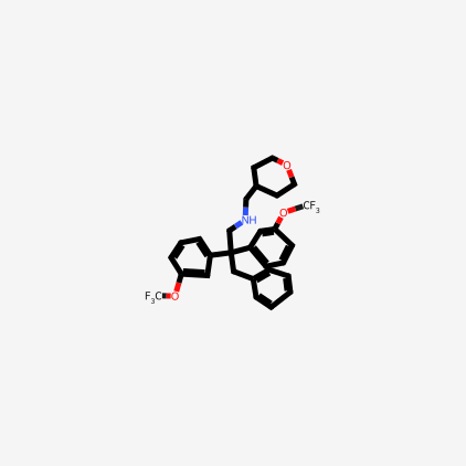 FC(F)(F)Oc1cccc(C(CNCC2CCOCC2)(Cc2ccccc2)c2cccc(OC(F)(F)F)c2)c1